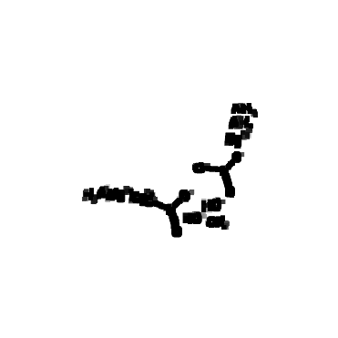 O.O=[Si]([O-])[O-].O=[Si]([O-])[O-].[AlH3].[AlH3].[AlH3].[Mg+2].[Mg+2].[Mg+2].[OH-].[OH-]